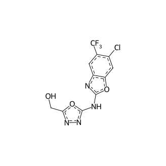 OCc1nnc(Nc2nc3cc(C(F)(F)F)c(Cl)cc3o2)o1